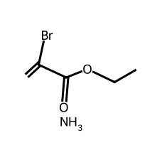 C=C(Br)C(=O)OCC.N